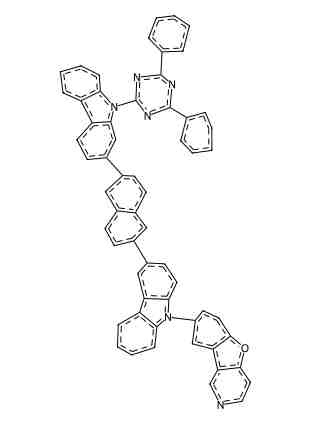 c1ccc(-c2nc(-c3ccccc3)nc(-n3c4ccccc4c4ccc(-c5ccc6cc(-c7ccc8c(c7)c7ccccc7n8-c7ccc8oc9ccncc9c8c7)ccc6c5)cc43)n2)cc1